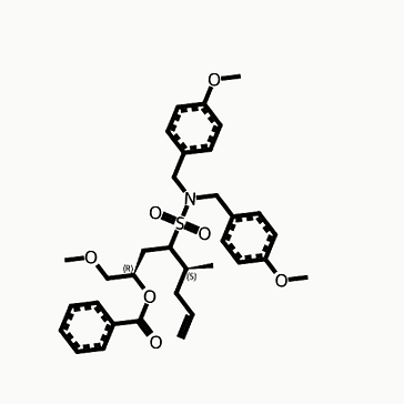 C=CC[C@H](C)C(C[C@H](COC)OC(=O)c1ccccc1)S(=O)(=O)N(Cc1ccc(OC)cc1)Cc1ccc(OC)cc1